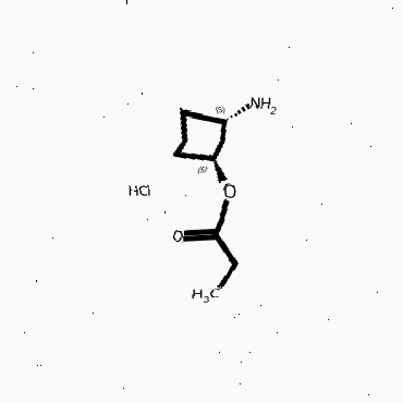 CCC(=O)O[C@H]1CC[C@@H]1N.Cl